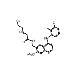 COc1cc2ncnc(Nc3cccc(Cl)c3F)c2cc1CNC(=O)CNCCC#N